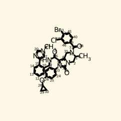 CC1Cn2c(c(C(=O)NCc3ccccc3-c3cn(C)cn3)n(-c3ccc(OC4CC4)cc3)c2=O)CN1C(=O)c1ccc(Br)c(Cl)c1